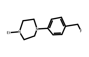 CCN1CCN(c2ccc(CF)cc2)CC1